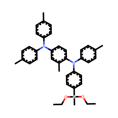 CCO[Si](C)(OCC)c1ccc(N(c2ccc(C)cc2)c2ccc(N(c3ccc(C)cc3)c3ccc(C)cc3)cc2C)cc1